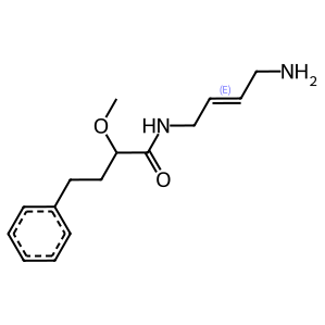 COC(CCc1ccccc1)C(=O)NC/C=C/CN